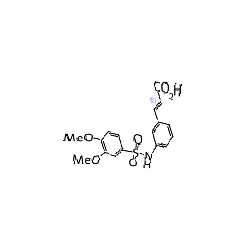 COc1ccc(S(=O)(=O)Nc2cccc(/C=C/C(=O)O)c2)cc1OC